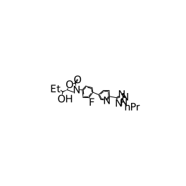 CCCn1nnc(-c2ccc(-c3ccc(N4C[C@@H](C(O)CC)OC4=O)cc3F)cn2)n1